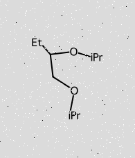 CCC(COC(C)C)OC(C)C